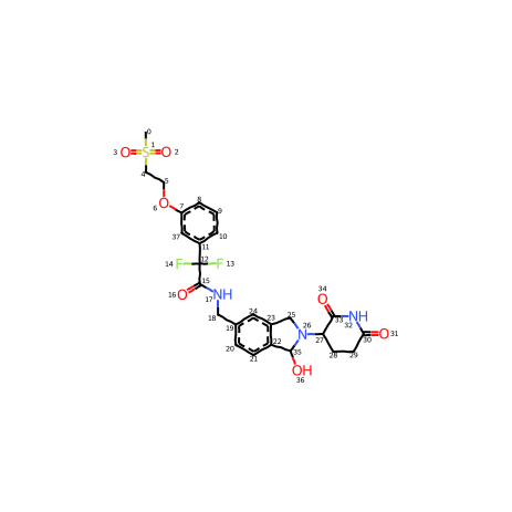 CS(=O)(=O)CCOc1cccc(C(F)(F)C(=O)NCc2ccc3c(c2)CN(C2CCC(=O)NC2=O)C3O)c1